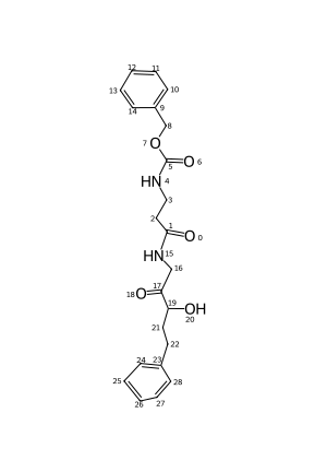 O=C(CCNC(=O)OCc1ccccc1)NCC(=O)C(O)CCc1ccccc1